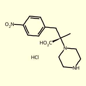 C[C@](Cc1ccc([N+](=O)[O-])cc1)(C(=O)O)N1CCNCC1.Cl